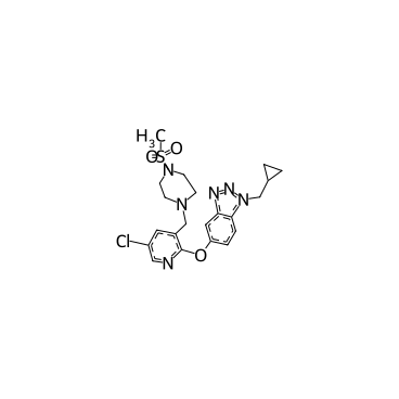 CS(=O)(=O)N1CCN(Cc2cc(Cl)cnc2Oc2ccc3c(c2)nnn3CC2CC2)CC1